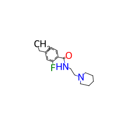 CCc1ccc(C(=O)NCCN2CCCCC2)c(F)c1